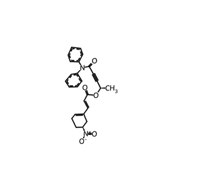 C[C@H](C#CC(=O)N(c1ccccc1)c1ccccc1)OC(=O)/C=C/C1=CCC[C@H]([N+](=O)[O-])C1